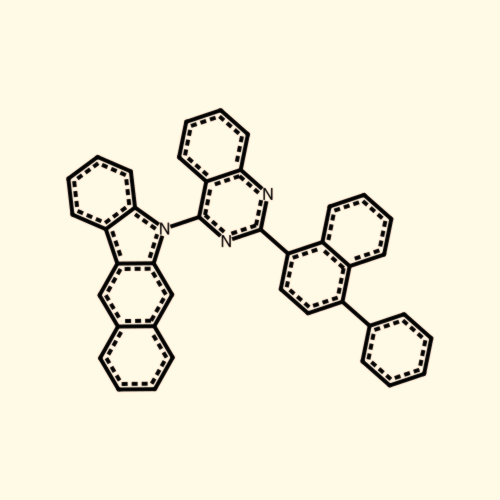 c1ccc(-c2ccc(-c3nc(-n4c5ccccc5c5cc6ccccc6cc54)c4ccccc4n3)c3ccccc23)cc1